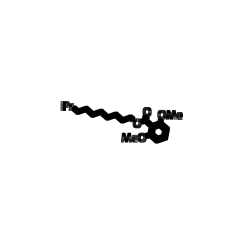 COc1cccc(OC)c1C(=O)OCCCCCCCCC(C)C